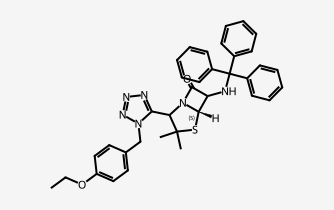 CCOc1ccc(Cn2nnnc2C2N3C(=O)C(NC(c4ccccc4)(c4ccccc4)c4ccccc4)[C@@H]3SC2(C)C)cc1